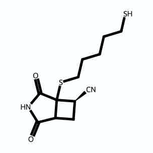 N#C[C@H]1CC2C(=O)NC(=O)C21SCCCCCS